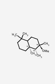 CO[C@]1(C)CCC2C(C)(C)CCC[C@]2(C)[C@H]1C